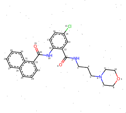 O=C(NCCCN1CCOCC1)c1cc(Cl)ccc1NC(=O)c1cccc2ccccc12